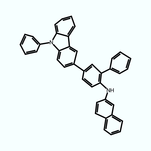 c1ccc(-c2cc(-c3ccc4c(c3)c3ccccc3n4-c3ccccc3)ccc2Nc2ccc3ccccc3c2)cc1